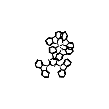 c1cc(-c2nc(-n3c4ccccc4c4ccccc43)nc(-n3c4ccccc4c4ccccc43)n2)cc(S(n2c3ccccc3c3ccccc32)(n2c3ccccc3c3ccccc32)n2c3ccccc3c3ccccc32)c1